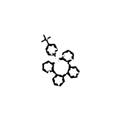 CC(C)(C)c1ccc(-n2c3ccccc3c3ccccc3c3ccccc3c3ccccc32)cc1